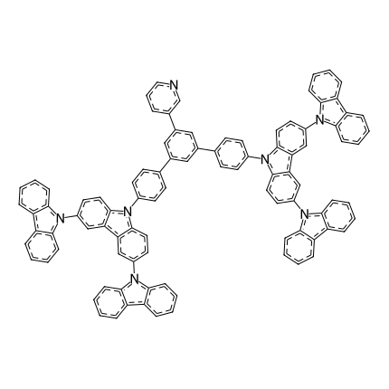 c1cncc(-c2cc(-c3ccc(-n4c5ccc(-n6c7ccccc7c7ccccc76)cc5c5cc(-n6c7ccccc7c7ccccc76)ccc54)cc3)cc(-c3ccc(-n4c5ccc(-n6c7ccccc7c7ccccc76)cc5c5cc(-n6c7ccccc7c7ccccc76)ccc54)cc3)c2)c1